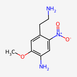 COc1cc(CCN)c([N+](=O)[O-])cc1N